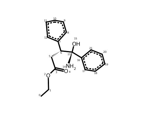 CCOC(=O)C[C@H](c1ccccc1)[C@](N)(O)c1ccccc1